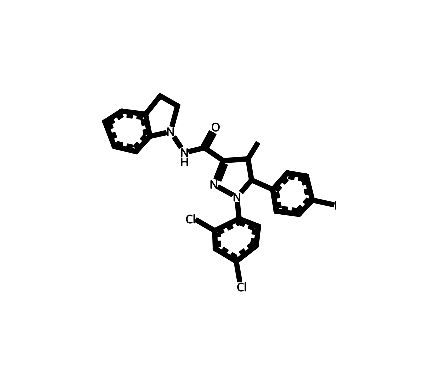 CC1C(C(=O)NN2CCc3ccccc32)=NN(c2ccc(Cl)cc2Cl)C1c1ccc(I)cc1